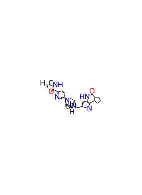 CNC(=O)c1ccc(N2CCN(Cc3cnc4c5c(c(=O)[nH]c4c3)CCC5)[C@H]3C[C@H]32)cn1